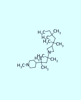 CCC(C)(C)CC(C)(C)C1CN(C(C)(C)CC(C)(C)C2CCN(C)CC2)C1